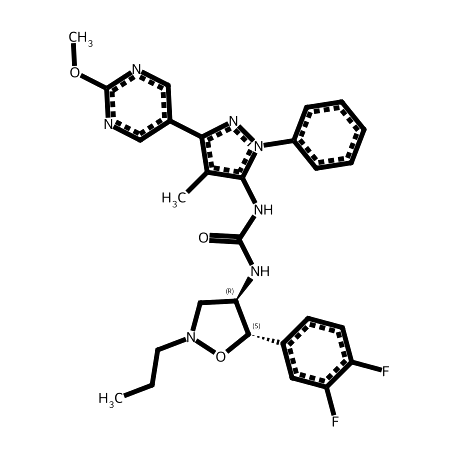 CCCN1C[C@@H](NC(=O)Nc2c(C)c(-c3cnc(OC)nc3)nn2-c2ccccc2)[C@H](c2ccc(F)c(F)c2)O1